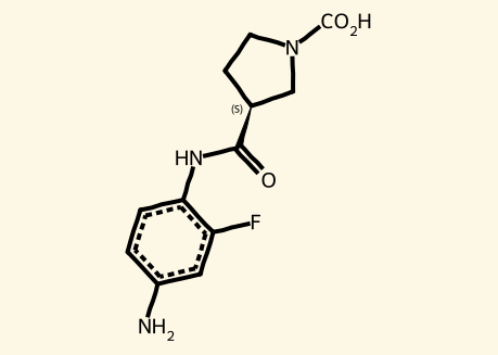 Nc1ccc(NC(=O)[C@H]2CCN(C(=O)O)C2)c(F)c1